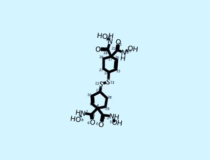 O=C(NO)C1(C(=O)NO)C=CC(SSC2C=CC(C(=O)NO)(C(=O)NO)CC2)CC1